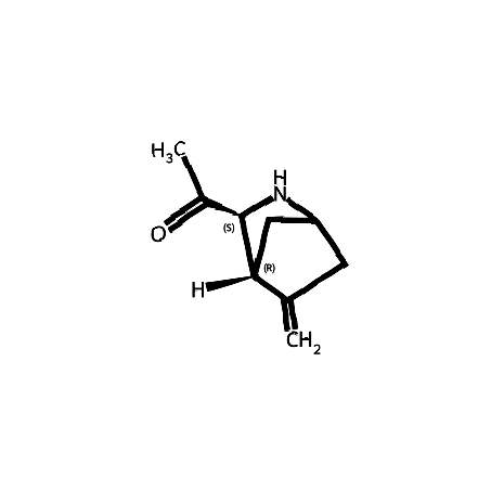 C=C1CC2C[C@H]1[C@@H](C(C)=O)N2